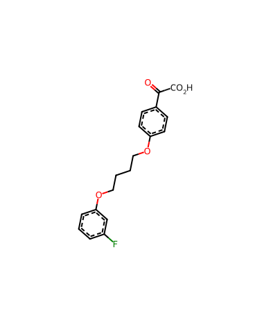 O=C(O)C(=O)c1ccc(OCCCCOc2cccc(F)c2)cc1